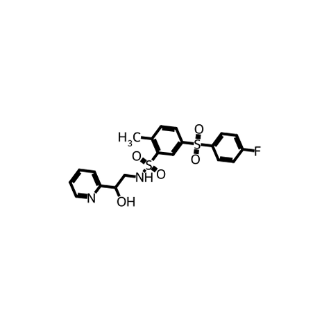 Cc1ccc(S(=O)(=O)c2ccc(F)cc2)cc1S(=O)(=O)NCC(O)c1ccccn1